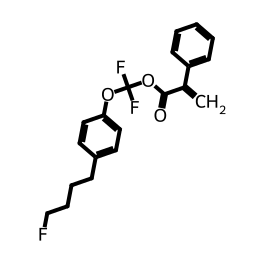 C=C(C(=O)OC(F)(F)Oc1ccc(CCCCF)cc1)c1ccccc1